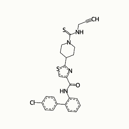 C#CCNC(=S)N1CCC(c2nc(C(=O)Nc3ccccc3-c3ccc(Cl)cc3)cs2)CC1